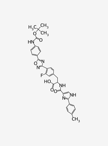 Cc1ccc(-c2nc(C(=O)NC(Cc3ccc(-c4noc(-c5ccc(NC(=O)OC(C)(C)C)cc5)n4)c(F)c3)C(=O)O)c[nH]2)cc1